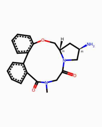 CN1CC(=O)N2C[C@H](N)C[C@H]2COc2ccccc2-c2ccccc2C1=O